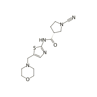 N#CN1CC[C@@H](C(=O)Nc2ncc(CN3CCOCC3)s2)C1